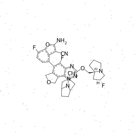 CN1CC2CCC(C1)N2c1nc(OC[C@@]23CCCN2C[C@H](F)C3)nc2c(F)c(-c3ccc(F)c4oc(N)c(C#N)c34)c3c(c12)COC3